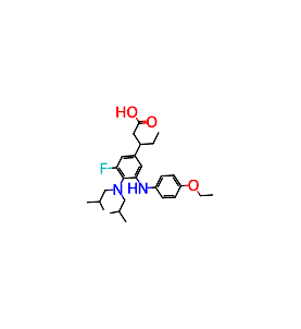 CCOc1ccc(Nc2cc(C(CC)CC(=O)O)cc(F)c2N(CC(C)C)CC(C)C)cc1